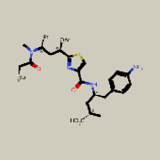 CC[C@H](C)CC(=O)N(C)[C@H](C[C@@H](OC(C)=O)c1nc(C(=O)N[C@@H](Cc2ccc(N)cc2)C[C@H](C)C(=O)O)cs1)C(C)C